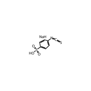 O=S(=O)(O)c1ccc(N=C=S)cc1.[NaH]